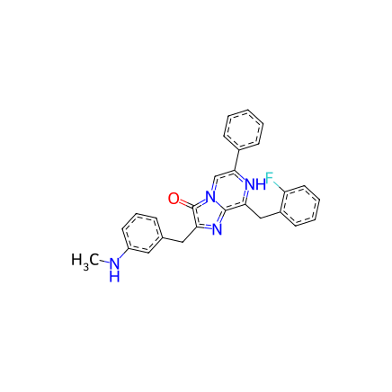 CNc1cccc(Cc2nc3c(Cc4ccccc4F)[nH]c(-c4ccccc4)cn-3c2=O)c1